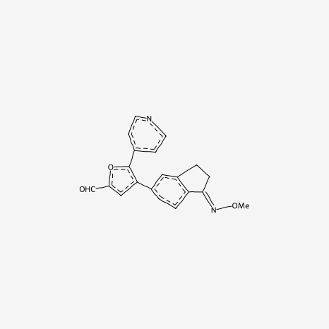 CON=C1CCc2cc(-c3cc(C=O)oc3-c3ccncc3)ccc21